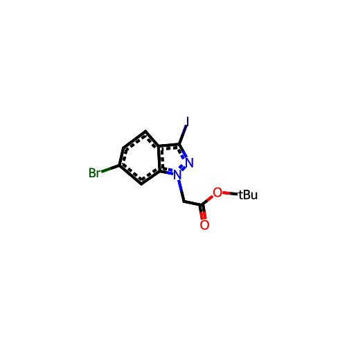 CC(C)(C)OC(=O)Cn1nc(I)c2ccc(Br)cc21